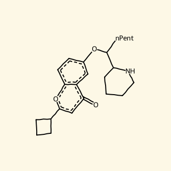 CCCCCC(Oc1ccc2oc(C3CCC3)cc(=O)c2c1)C1CCCCN1